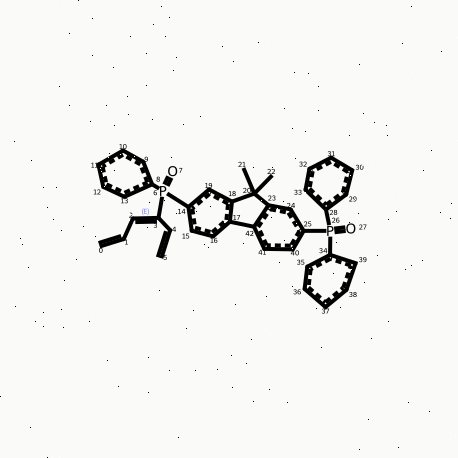 C=C/C=C(\C=C)P(=O)(c1ccccc1)c1ccc2c(c1)C(C)(C)c1cc(P(=O)(c3ccccc3)c3ccccc3)ccc1-2